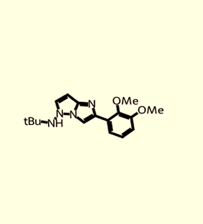 COc1cccc(-c2cn3c(ccn3NC(C)(C)C)n2)c1OC